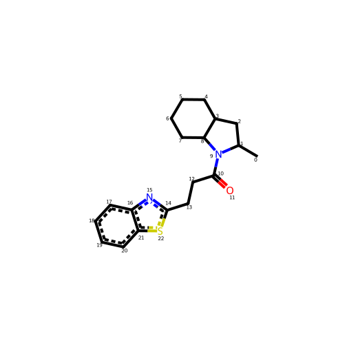 CC1CC2CCCCC2N1C(=O)CCc1nc2ccccc2s1